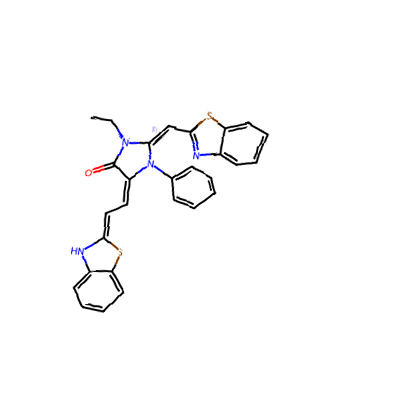 CCn1c(=O)c(=CC=C2Nc3ccccc3S2)n(-c2ccccc2)/c1=C\c1nc2ccccc2s1